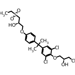 CCS(=O)(=O)C[C@H](O)COc1ccc(C(C)(C)c2cc(Cl)c(OC[C@H](O)CCl)c(Cl)c2)cc1